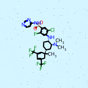 CN(C)[C@H]1C[C@@H](C2(C)C=C(C(F)(F)F)C=C(C(F)(F)F)C2)CC[C@@H]1Nc1cc(F)c(S(=O)(=O)Nc2ccncn2)cc1Cl